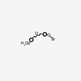 COc1ccc(C=CC(=O)C=Cc2ccc(OCCBr)cc2)cc1